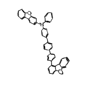 c1ccc(N(c2ccc(-c3ccc(-c4ccc(-c5cccc6oc7ccccc7c56)cc4)cc3)cc2)c2ccc3c(c2)oc2ccccc23)cc1